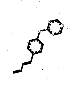 C=CC=Cc1ccc(Oc2ncncn2)cc1